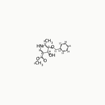 COC(=O)C1=CNC(C)=C(OCc2ccccc2)C1O